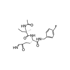 CC[C@@](C)(NC(C)=O)C(=O)N[C@@H](CCC(=O)C=N)C(=O)NCc1ccc(F)cc1